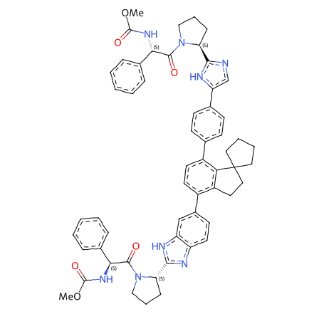 COC(=O)N[C@H](C(=O)N1CCC[C@H]1c1ncc(-c2ccc(-c3ccc(-c4ccc5nc([C@@H]6CCCN6C(=O)[C@@H](NC(=O)OC)c6ccccc6)[nH]c5c4)c4c3C3(CCCC3)CC4)cc2)[nH]1)c1ccccc1